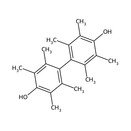 Cc1c(C)c(-c2c(C)c(C)c(O)c(C)c2C)c(C)c(C)c1O